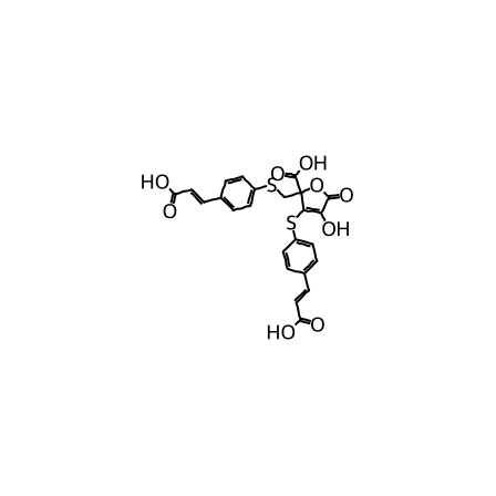 O=C(O)C=Cc1ccc(SCC2(C(=O)O)OC(=O)C(O)=C2Sc2ccc(C=CC(=O)O)cc2)cc1